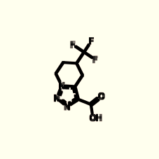 O=C(O)c1nnn2c1CC(C(F)(F)F)CC2